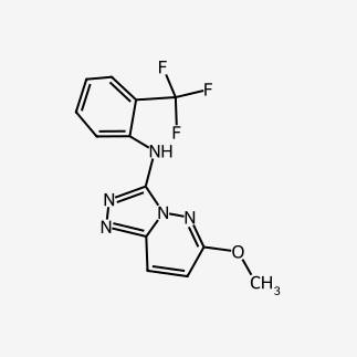 COc1ccc2nnc(Nc3ccccc3C(F)(F)F)n2n1